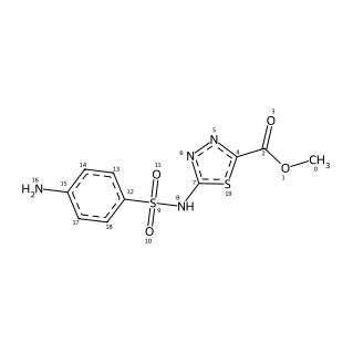 COC(=O)c1nnc(NS(=O)(=O)c2ccc(N)cc2)s1